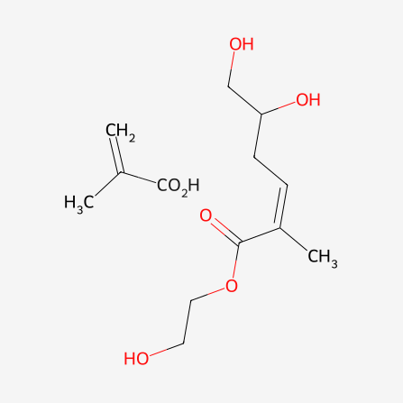 C=C(C)C(=O)O.CC(=CCC(O)CO)C(=O)OCCO